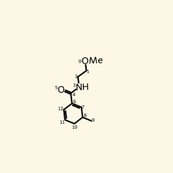 COCCNC(=O)C1=CC(C)CC=C1